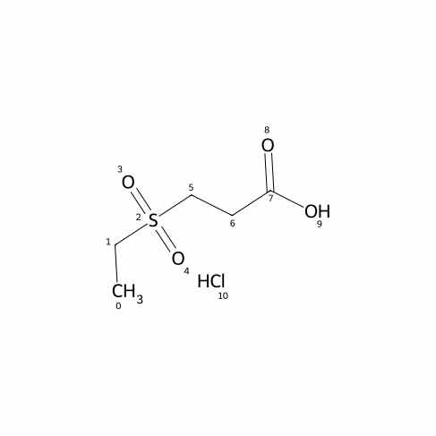 CCS(=O)(=O)CCC(=O)O.Cl